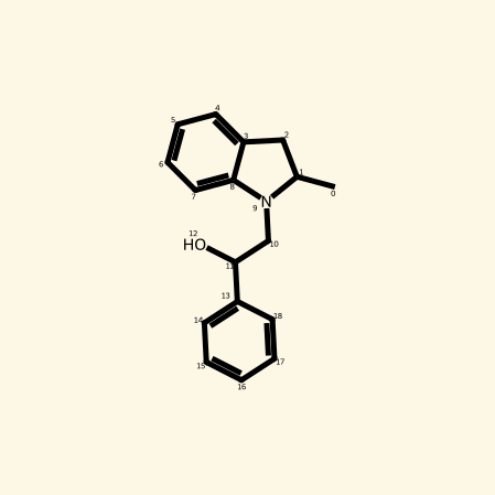 CC1Cc2ccccc2N1CC(O)c1ccccc1